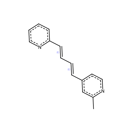 Cc1cc(/C=C/C=C/c2ccccn2)ccn1